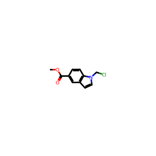 COC(=O)c1ccc2c(ccn2CCl)c1